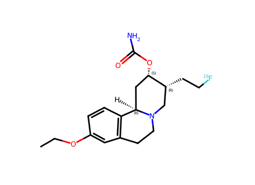 CCOc1ccc2c(c1)CCN1C[C@@H](CC[19F])[C@@H](OC(N)=O)C[C@H]21